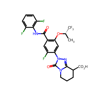 C[C@H](Oc1cc(-n2nc3n(c2=O)CCCC3C(=O)O)c(F)cc1C(=O)Nc1c(F)cccc1F)C(F)(F)F